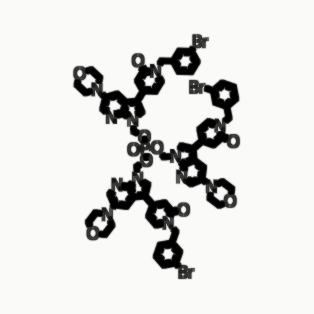 O=c1cc(-c2cn(COP(=O)(OCn3cc(-c4ccn(Cc5cccc(Br)c5)c(=O)c4)c4cc(N5CCOCC5)cnc43)OCn3cc(-c4ccn(Cc5cccc(Br)c5)c(=O)c4)c4cc(N5CCOCC5)cnc43)c3ncc(N4CCOCC4)cc23)ccn1Cc1cccc(Br)c1